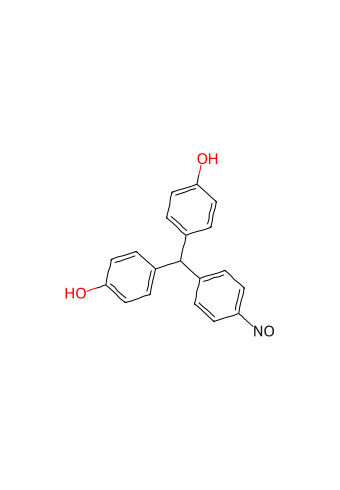 O=Nc1ccc(C(c2ccc(O)cc2)c2ccc(O)cc2)cc1